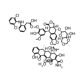 COc1cc([C@@H]2c3cc4c(cc3[C@@H](O[C@@H]3O[C@@H]5CO[C@@H](C)O[C@H]5[C@H](O)[C@H]3O)[C@H]3COC(=O)[C@H]23)OCO4)cc(OC)c1O.C[C@H]1c2cccc(O)c2C(=O)C2=C(O)[C@]3(O)C(=O)C(C(N)=O)=C(O)[C@@H](N(C)C)[C@@H]3[C@@H](O)[C@@H]21.O.O=C(O)Cc1ccccc1Nc1c(Cl)cccc1Cl